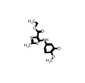 CCOC(=O)c1nc(C)sc1Nc1ccc(OC)c(Cl)c1